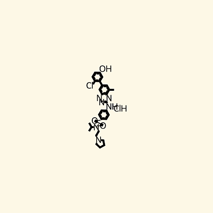 Cc1cc(-c2cc(O)ccc2Cl)cc2nnc(Nc3ccc(S(=O)(=O)N(CCN4CCCC4)C(C)C)cc3)nc12.Cl